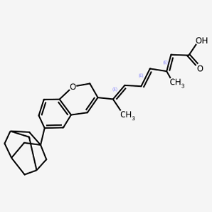 CC(/C=C/C=C(\C)C1=Cc2cc(C34CC5CC(CC(C5)C3)C4)ccc2OC1)=C\C(=O)O